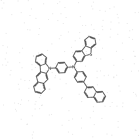 c1ccc2cc(-c3ccc(N(c4ccc(-n5c6ccccc6c6cc7ccccc7cc65)cc4)c4ccc5c(c4)sc4ccccc45)cc3)ccc2c1